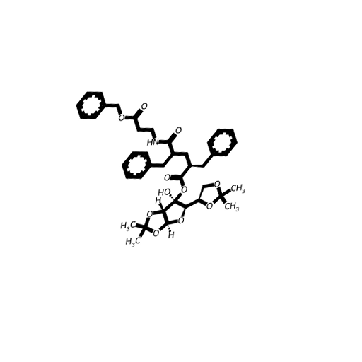 CC1(C)OC[C@H]([C@H]2O[C@H]3OC(C)(C)O[C@@H]3[C@@]2(O)OC(=O)[C@H](Cc2ccccc2)CC(Cc2ccccc2)C(=O)NCCC(=O)OCc2ccccc2)O1